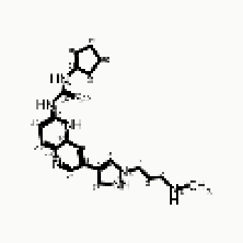 CNCCCN1C=C(C2=CC3NC(NC(=S)NC4CCCC4)=CC=C3N=C2)CN1